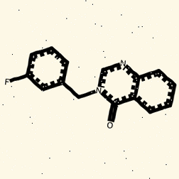 O=c1c2ccccc2ncn1Cc1cccc(F)c1